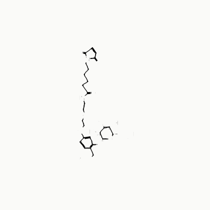 CC(=O)OCc1ccc(OCCOCCNC(=O)CCCCCN2C(=O)C=CC2=O)cc1O[C@@H]1O[C@H](C(=O)O)[C@@H](O)[C@H](O)[C@H]1O